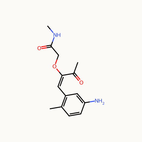 CNC(=O)CO/C(=C/c1cc(N)ccc1C)C(C)=O